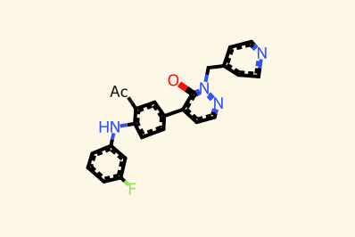 CC(=O)c1cc(-c2ccnn(Cc3ccncc3)c2=O)ccc1Nc1cccc(F)c1